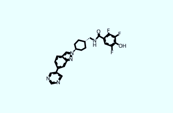 O=C(NC[C@H]1CC[C@H](n2cc3ccc(-c4cncnc4)cc3n2)CC1)c1cc(F)c(O)c(F)c1F